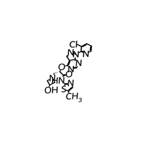 Cc1cnc(NC(=O)[C@H](CN2CC(O)C2)Oc2ncnc3c2cnn3-c2ncccc2Cl)s1